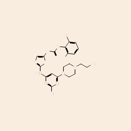 Cc1nc(Nc2ncc(OC(=O)Nc3c(C)cccc3Cl)s2)cc(N2CCN(CCO)CC2)n1